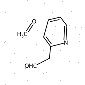 C=O.O=CCc1ccccn1